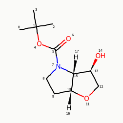 CC(C)(C)OC(=O)N1CC[C@H]2OC[C@H](O)[C@H]21